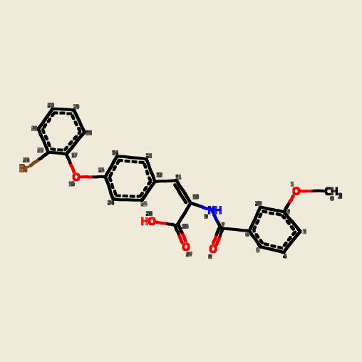 COc1cccc(C(=O)N/C(=C/c2ccc(Oc3ccccc3Br)cc2)C(=O)O)c1